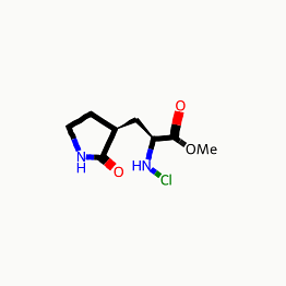 COC(=O)[C@H](C[C@@H]1CCNC1=O)NCl